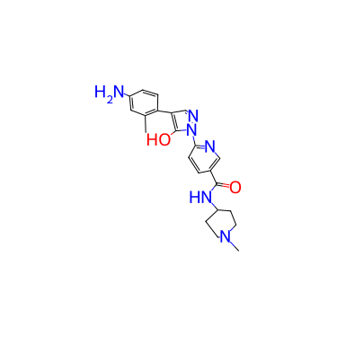 Cc1cc(N)ccc1-c1cnn(-c2ccc(C(=O)NC3CCN(C)CC3)cn2)c1O